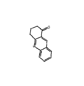 O=C1CCCc2nc3ccccc3cc21